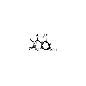 CCOC(=O)C(c1ccc(O)cc1)N(C)C(=O)Cl